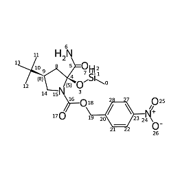 C[SiH](C)O[C@]1(C(N)=O)C[C@H](C(C)(C)C)CN1C(=O)OCc1ccc([N+](=O)[O-])cc1